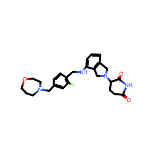 O=C1CCC(N2Cc3cccc(NCc4ccc(CN5CCCOCC5)cc4F)c3C2)C(=O)N1